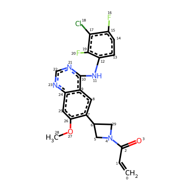 C=CC(=O)N1CC(c2cc3c(Nc4ccc(F)c(Cl)c4F)ncnc3cc2OC)C1